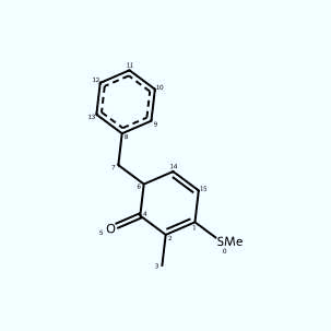 CSC1=C(C)C(=O)C(Cc2ccccc2)C=C1